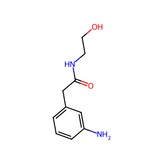 Nc1cccc(CC(=O)NCCO)c1